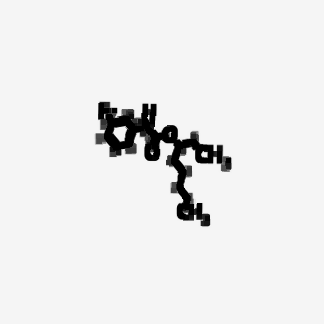 CCCCCC(CC)OC(=O)Nc1cccc(F)c1